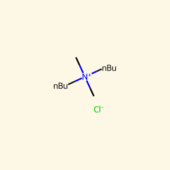 CCCC[N+](C)(C)CCCC.[Cl-]